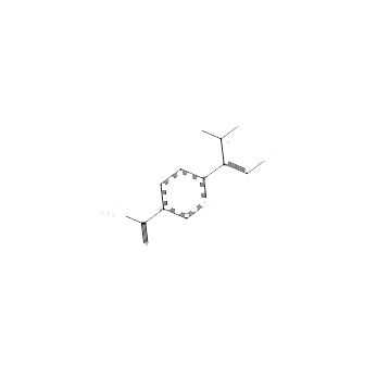 COC(=O)c1ccc(C(=CF)C(F)F)nc1